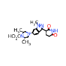 C[C@@H]1CN(c2ccc3c(C4CCC(=O)NC4=O)nn(C)c3c2)C[C@H](C)N1C(=O)O